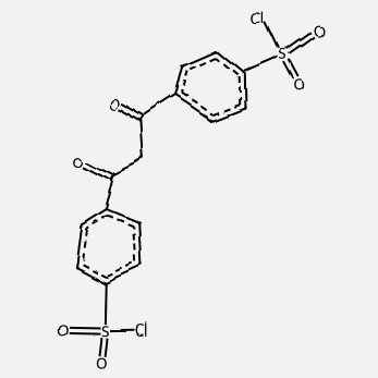 O=C(CC(=O)c1ccc(S(=O)(=O)Cl)cc1)c1ccc(S(=O)(=O)Cl)cc1